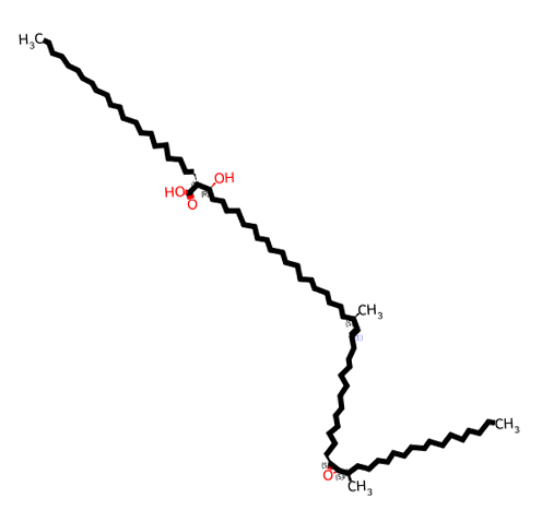 CCCCCCCCCCCCCCCCCCCCCC[C@@H](C(=O)O)[C@H](O)CCCCCCCCCCCCCCCCCCC[C@H](C)/C=C/CCCCCCCCCCCC[C@@H]1O[C@H]1[C@H](C)CCCCCCCCCCCCCCCC